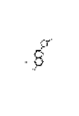 O=C1CCC(c2ccc3c(C(=O)O)c(Cl)ccc3n2)C1